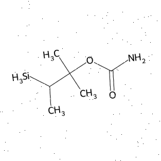 CC([SiH3])C(C)(C)OC(N)=O